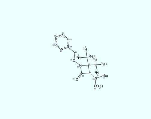 [2H]C([2H])([2H])C1(C([2H])([2H])[2H])[C@H](N(C(=O)O)C(C)(C)C)C(=O)N1OCc1ccccc1